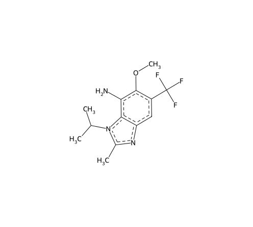 COc1c(C(F)(F)F)cc2nc(C)n(C(C)C)c2c1N